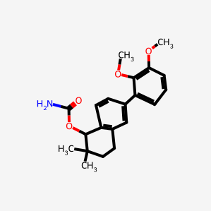 COc1cccc(-c2ccc3c(c2)CCC(C)(C)C3OC(N)=O)c1OC